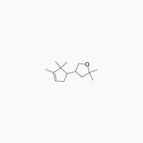 CC1=CCC(C2COC(C)(C)C2)C1(C)C